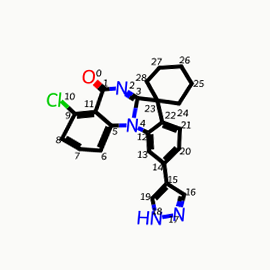 O=c1nc2n(c3cccc(Cl)c13)-c1cc(-c3cn[nH]c3)ccc1C21CCCCC1